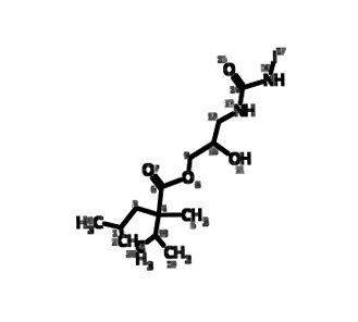 CC(C)CC(C)(C(=O)OCC(O)CNC(=O)NI)C(C)C